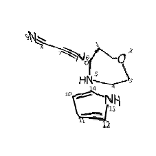 C1COCCN1.N#CC#N.c1cc[nH]c1